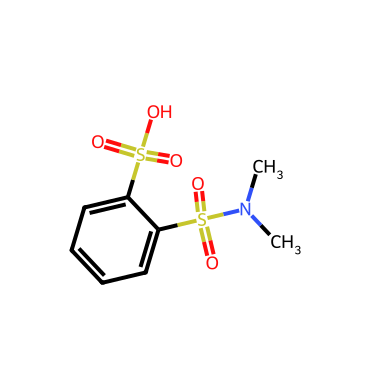 CN(C)S(=O)(=O)c1ccccc1S(=O)(=O)O